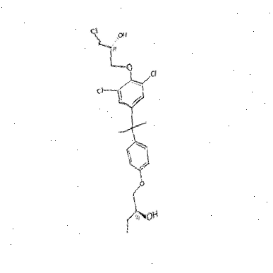 CC[C@H](O)COc1ccc(C(C)(C)c2cc(Cl)c(OC[C@@H](O)CCl)c(Cl)c2)cc1